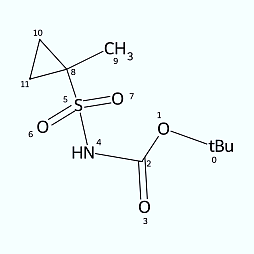 CC(C)(C)OC(=O)NS(=O)(=O)C1(C)CC1